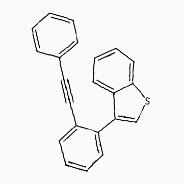 C(#Cc1ccccc1-c1csc2ccccc12)c1ccccc1